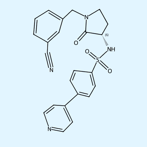 N#Cc1cccc(CN2CC[C@H](NS(=O)(=O)c3ccc(-c4ccncc4)cc3)C2=O)c1